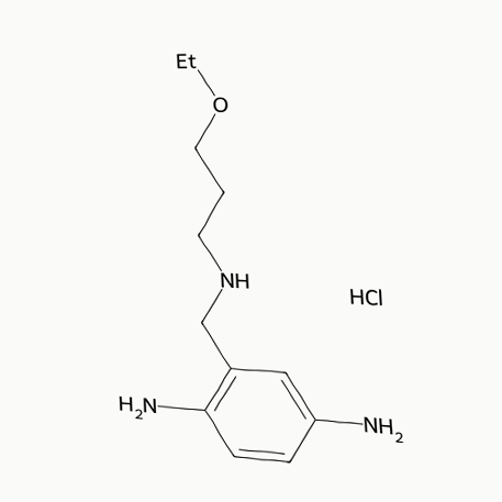 CCOCCCNCc1cc(N)ccc1N.Cl